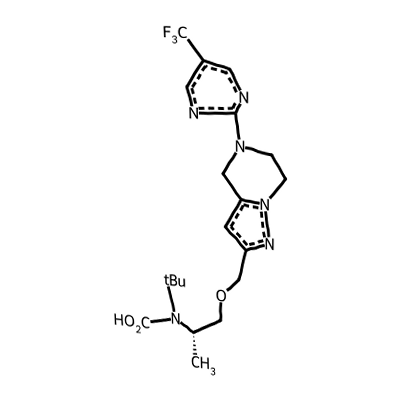 C[C@@H](COCc1cc2n(n1)CCN(c1ncc(C(F)(F)F)cn1)C2)N(C(=O)O)C(C)(C)C